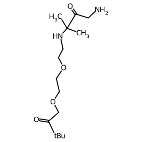 CC(C)(C)C(=O)COCCOCCNC(C)(C)C(=O)CN